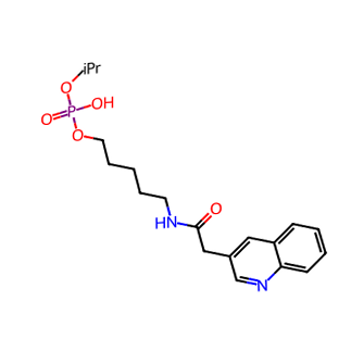 CC(C)OP(=O)(O)OCCCCCNC(=O)Cc1cnc2ccccc2c1